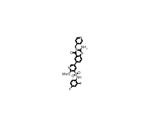 COc1ncc(-c2ccc3nc(N)n(Cc4ccncc4)c(=O)c3c2)cc1S(=O)(=O)Nc1ccc(F)cc1F